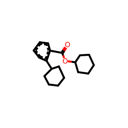 O=C(OC1CCCCC1)c1ccccc1C1CCCCC1